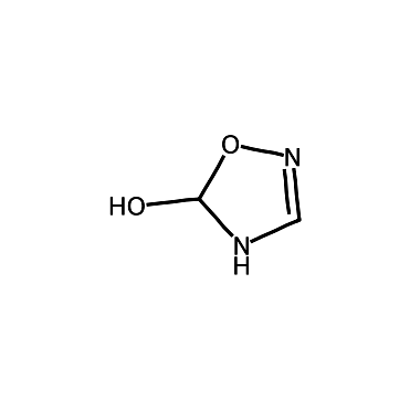 OC1NC=NO1